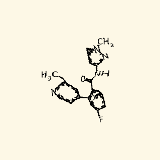 Cc1cc(-c2c(C(=O)Nc3ccn(C)n3)c3cc(F)c2o3)ccn1